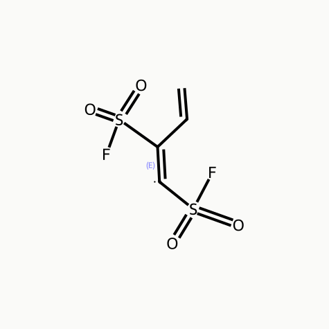 C=C/C(=[C]\S(=O)(=O)F)S(=O)(=O)F